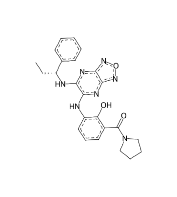 CC[C@@H](Nc1nc2nonc2nc1Nc1cccc(C(=O)N2CCCC2)c1O)c1ccccc1